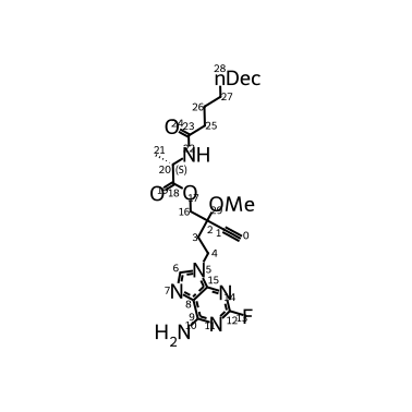 C#CC(CCn1cnc2c(N)nc(F)nc21)(COC(=O)[C@H](C)NC(=O)CCCCCCCCCCCCC)OC